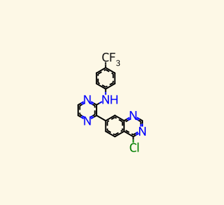 FC(F)(F)c1ccc(Nc2nccnc2-c2ccc3c(Cl)ncnc3c2)cc1